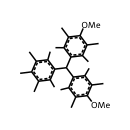 COc1c(C)c(C)c(C(c2c(C)c(C)c(C)c(C)c2C)c2c(C)c(C)c(OC)c(C)c2C)c(C)c1C